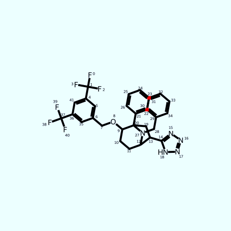 FC(F)(F)c1cc(COC2CCC3C(c4nnn[nH]4)CC2(c2ccccc2)N3Cc2ccccc2)cc(C(F)(F)F)c1